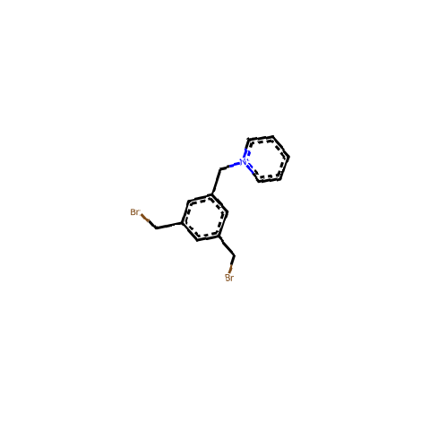 BrCc1cc(CBr)cc(C[n+]2ccccc2)c1